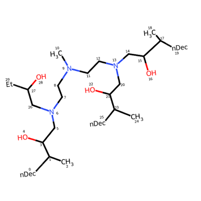 CCCCCCCCCCC(C)C(O)CN(CCN(C)CCN(CC(O)C(C)CCCCCCCCCC)CC(O)C(C)CCCCCCCCCC)CC(O)CC